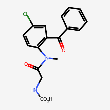 CN(C(=O)CNC(=O)O)c1ccc(Cl)cc1C(=O)c1ccccc1